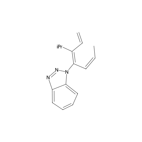 C=C/C(=C(\C=C/C)n1nnc2ccccc21)C(C)C